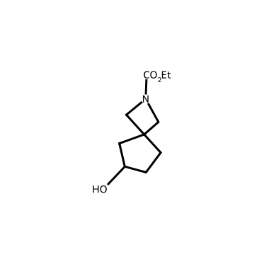 CCOC(=O)N1CC2(CCC(O)C2)C1